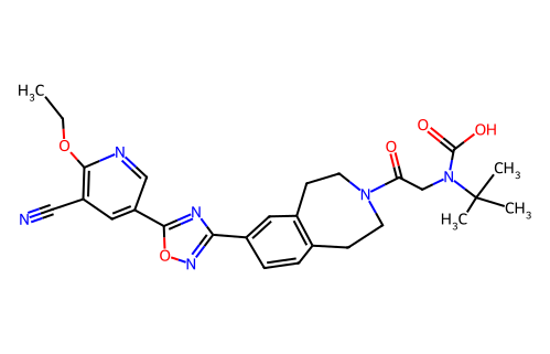 CCOc1ncc(-c2nc(-c3ccc4c(c3)CCN(C(=O)CN(C(=O)O)C(C)(C)C)CC4)no2)cc1C#N